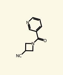 N#CC1CN(C(=O)c2cccnc2)C1